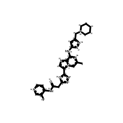 Cc1cn2c(-c3nnc(CC(=O)Nc4ccncc4F)o3)cnc2c(Nc2cc(CN3CCCCC3)ns2)n1